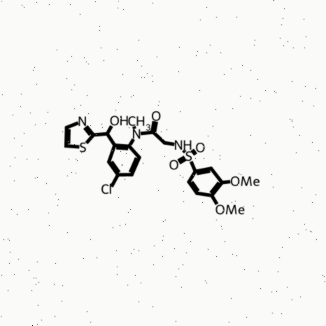 COc1ccc(S(=O)(=O)NCC(=O)N(C)c2ccc(Cl)cc2C(O)c2nccs2)cc1OC